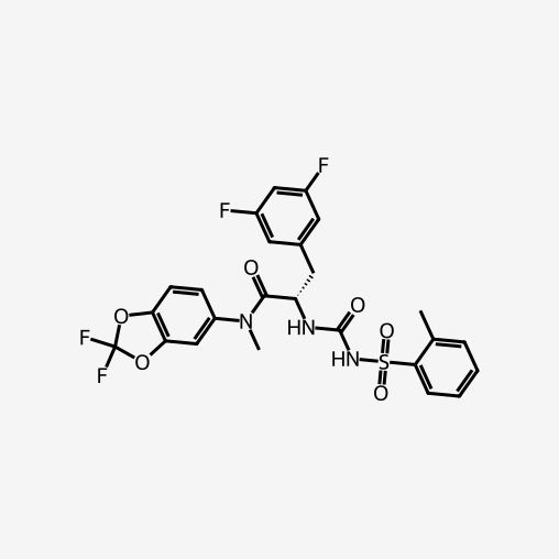 Cc1ccccc1S(=O)(=O)NC(=O)N[C@@H](Cc1cc(F)cc(F)c1)C(=O)N(C)c1ccc2c(c1)OC(F)(F)O2